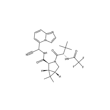 CC(C)(C)[C@H](NC(=O)C(F)(F)F)C(=O)N1C[C@H]2[C@@H]([C@H]1C(=O)NC(C#N)c1cccc3nccn13)C2(C)C